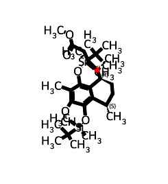 COC(=O)CC[C@H](C)[C@H]1CC[C@H](C)c2c(O[Si](C)(C)C(C)(C)C)c(OC)c(C)c(O[Si](C)(C)C(C)(C)C)c21